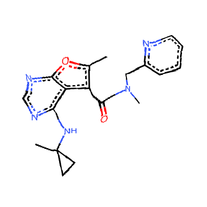 Cc1oc2ncnc(NC3(C)CC3)c2c1C(=O)N(C)Cc1ccccn1